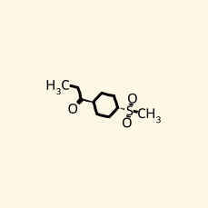 CCC(=O)[C@H]1CC[C@H](S(C)(=O)=O)CC1